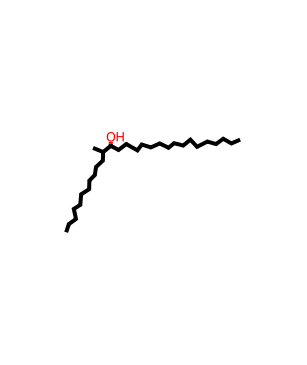 CCCCCCCCCCCCCCCCC(O)C(C)CCCCCCCCCCC